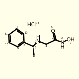 C[C@H](NCC(=O)NO)c1ccccc1.Cl